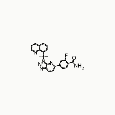 CC(C)(c1cccc2cccnc12)n1nnc2ccc(-c3ccc(C(N)=O)c(F)c3)nc21